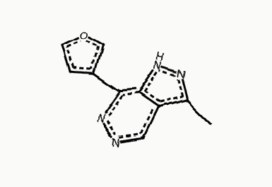 Cc1n[nH]c2c(-c3ccoc3)nncc12